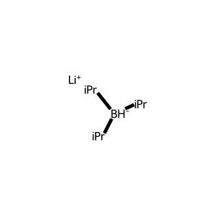 CC(C)[BH-](C(C)C)C(C)C.[Li+]